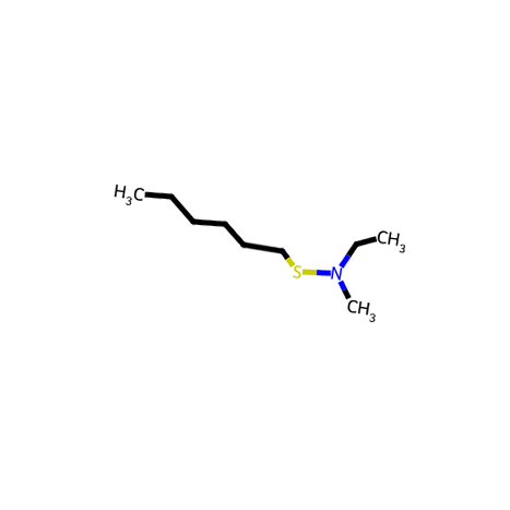 CCCCCCSN(C)CC